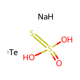 O=S(O)(O)=S.[NaH].[Te]